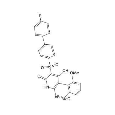 CCCCc1[nH]c(=O)c(S(=O)(=O)c2ccc(-c3ccc(F)cc3)cc2)c(O)c1-c1c(OC)cccc1OC